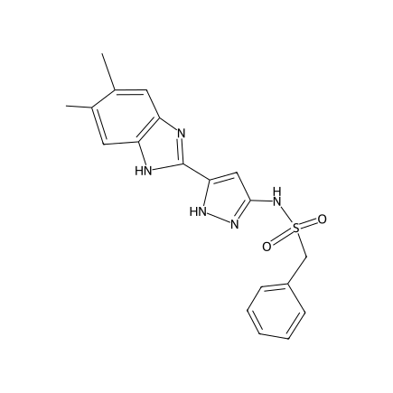 Cc1cc2nc(-c3cc(NS(=O)(=O)Cc4ccccc4)n[nH]3)[nH]c2cc1C